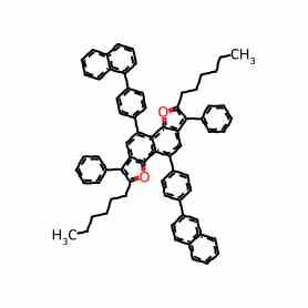 CCCCCCc1oc2c(cc(-c3ccc(-c4cccc5ccccc45)cc3)c3c4oc(CCCCCC)c(-c5ccccc5)c4cc(-c4ccc(-c5ccc6ccccc6c5)cc4)c23)c1-c1ccccc1